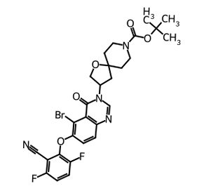 CC(C)(C)OC(=O)N1CCC2(CC1)CC(n1cnc3ccc(Oc4c(F)ccc(F)c4C#N)c(Br)c3c1=O)CO2